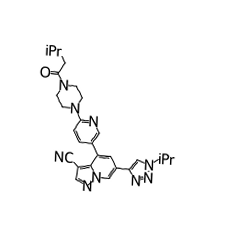 CC(C)CC(=O)N1CCN(c2ccc(-c3cc(-c4cn(C(C)C)nn4)cn4ncc(C#N)c34)cn2)CC1